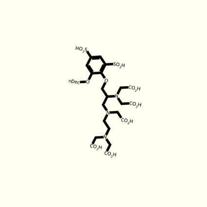 CCCCCCCCCCOc1cc(S(=O)(=O)O)cc(S(=O)(=O)O)c1OCC(CN(CCN(CC(=O)O)CC(=O)O)CC(=O)O)N(CC(=O)O)CC(=O)O